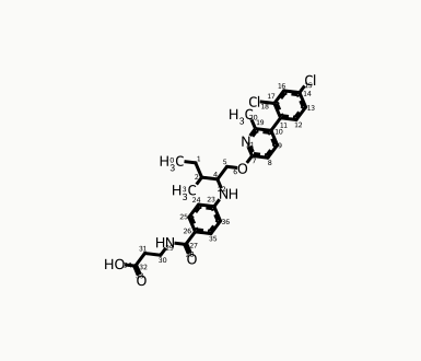 CCC(C)C(COc1ccc(-c2ccc(Cl)cc2Cl)c(C)n1)Nc1ccc(C(=O)NCCC(=O)O)cc1